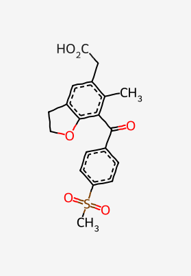 Cc1c(CC(=O)O)cc2c(c1C(=O)c1ccc(S(C)(=O)=O)cc1)OCC2